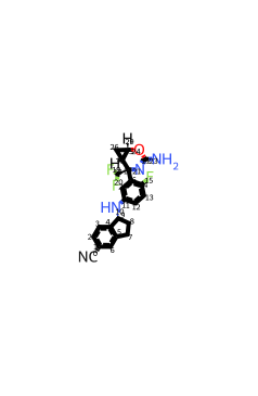 N#Cc1ccc2c(c1)CC[C@H]2Nc1ccc(F)c([C@@]2(C(F)F)N=C(N)O[C@@H]3C[C@@H]32)c1